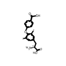 N[C@@H](Cc1cc(I)c(Oc2ccc(C(=O)O)cc2)c(I)c1)C(=O)O